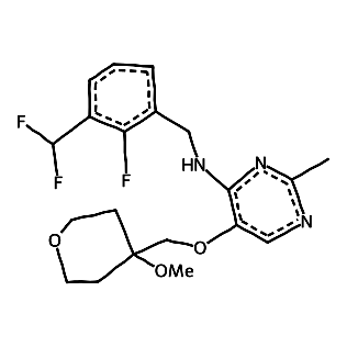 COC1(COc2cnc(C)nc2NCc2cccc(C(F)F)c2F)CCOCC1